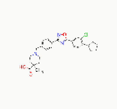 CC1(C(=O)O)CCN(Cc2ccc(-c3noc(-c4ccc(C5CCCC5)c(Cl)c4)n3)cc2)CC1